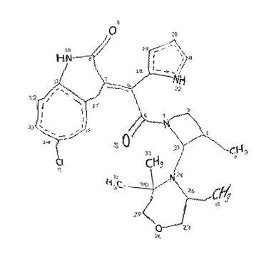 CC1CN(C(=O)C(=C2C(=O)Nc3ccc(Cl)cc32)c2ccc[nH]2)C1N1C(C)COCC1(C)C